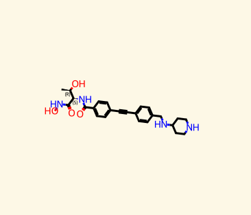 C[C@@H](O)[C@H](NC(=O)c1ccc(C#Cc2ccc(CNC3CCNCC3)cc2)cc1)C(=O)NO